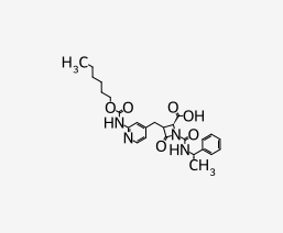 CCCCCCOC(=O)Nc1cc(CC2C(=O)N(C(=O)N[C@H](C)c3ccccc3)[C@@H]2C(=O)O)ccn1